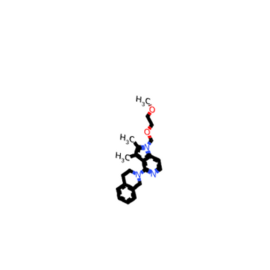 COCCOCn1c(C)c(C)c2c(N3CCc4ccccc4C3)nccc21